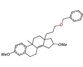 COc1ccc2c(c1)CCC1=C3CC(OC)CC3(CCCOCc3ccccc3)CCC12C